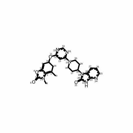 CC1=c2c(oc(=O)n2C)=CC(Oc2cc(N3CCC(n4c(=O)[nH]c5ncccc54)CC3)ncn2)C1